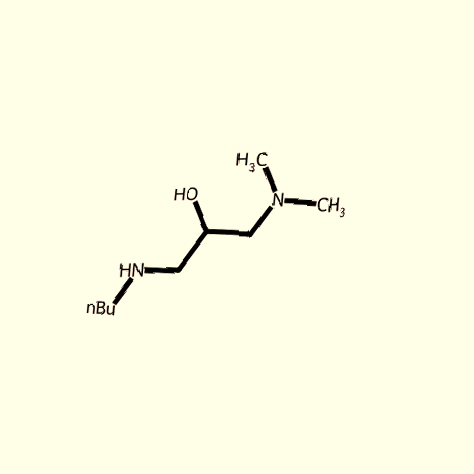 CCCCNCC(O)CN(C)C